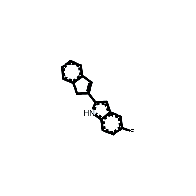 Fc1ccc2[nH]c(C3=Cc4ccccc4C3)cc2c1